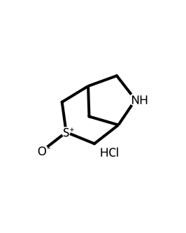 Cl.[O-][S+]1CC2CNC(C2)C1